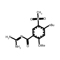 CCCCc1cc(OC)c(C(=O)N=C(N)N)cc1S(C)(=O)=O